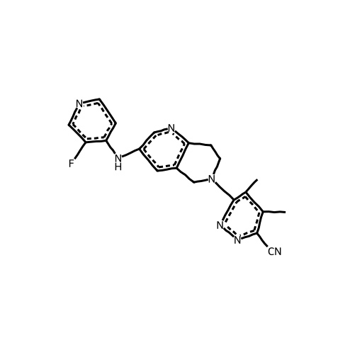 Cc1c(C#N)nnc(N2CCc3ncc(Nc4ccncc4F)cc3C2)c1C